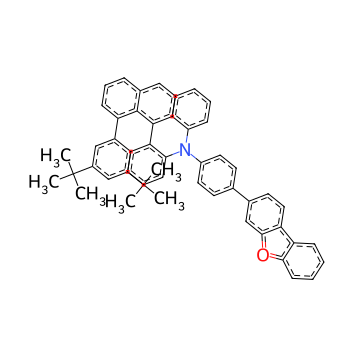 CC(C)(C)c1cc(-c2cccc3cccc(-c4ccccc4N(c4ccccc4)c4ccc(-c5ccc6c(c5)oc5ccccc56)cc4)c23)cc(C(C)(C)C)c1